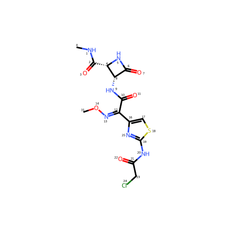 CNC(=O)[C@@H]1NC(=O)[C@@H]1NC(=O)/C(=N\OC)c1csc(NC(=O)CCl)n1